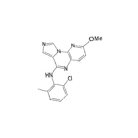 COc1ccc2nc(Nc3c(C)cccc3Cl)c3cncn3c2n1